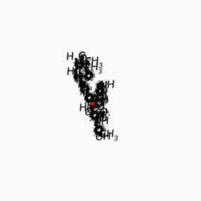 COc1cc(CN2CCN(C3CC4(CCN(c5ccc(C(=O)NS(=O)(=O)c6ccc(NCC7CCC(C)(O)CC7)c([N+](=O)[O-])c6)c(N6c7cc8cc[nH]c8nc7O[C@H]7COCC[C@@H]76)c5)CC4)C3)[C@H](c3ccccc3C(C)C)C2)cnc1OC